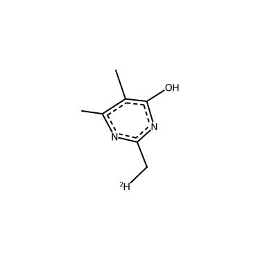 [2H]Cc1nc(C)c(C)c(O)n1